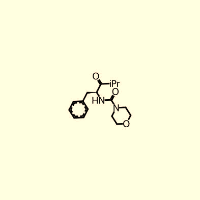 CC(C)C(=O)[C@H](Cc1ccccc1)NC(=O)N1CCOCC1